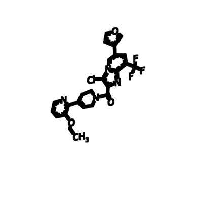 CCOc1cccnc1C1=CCN(C(=O)c2nc3c(C(F)(F)F)cc(-c4ccoc4)cn3c2Cl)CC1